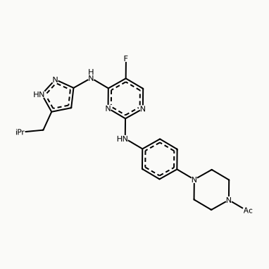 CC(=O)N1CCN(c2ccc(Nc3ncc(F)c(Nc4cc(CC(C)C)[nH]n4)n3)cc2)CC1